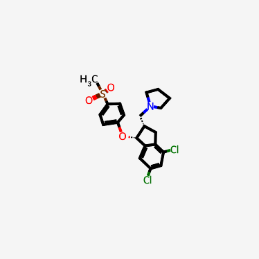 CS(=O)(=O)c1ccc(O[C@H]2c3cc(Cl)cc(Cl)c3C[C@H]2CN2CCCC2)cc1